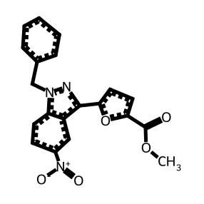 COC(=O)c1ccc(-c2nn(Cc3ccccc3)c3ccc([N+](=O)[O-])cc23)o1